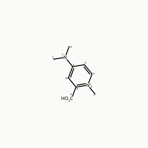 CN(C)c1cc[n+](C)c(C(=O)O)c1